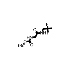 CC(F)(F)CNC(=O)CNC(=O)OC(C)(C)C